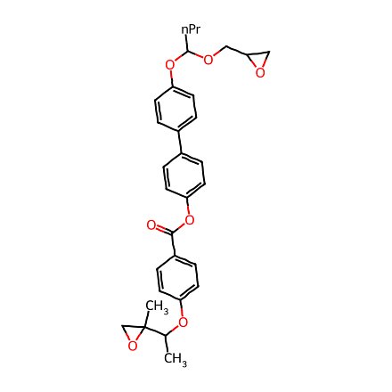 CCCC(OCC1CO1)Oc1ccc(-c2ccc(OC(=O)c3ccc(OC(C)C4(C)CO4)cc3)cc2)cc1